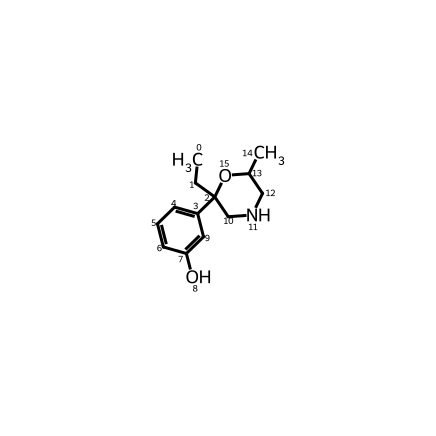 CCC1(c2cccc(O)c2)CNCC(C)O1